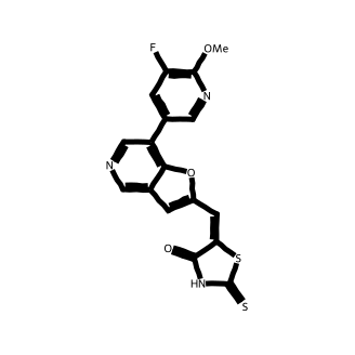 COc1ncc(-c2cncc3cc(/C=C4/SC(=S)NC4=O)oc23)cc1F